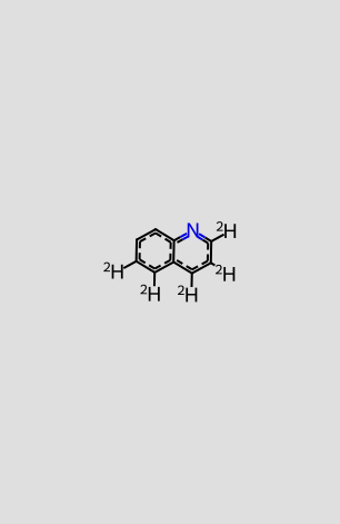 [2H]c1ccc2nc([2H])c([2H])c([2H])c2c1[2H]